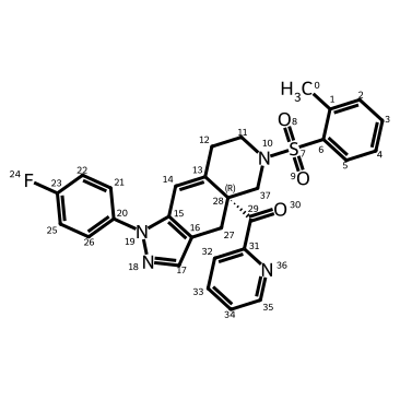 Cc1ccccc1S(=O)(=O)N1CCC2=Cc3c(cnn3-c3ccc(F)cc3)C[C@]2(C(=O)c2ccccn2)C1